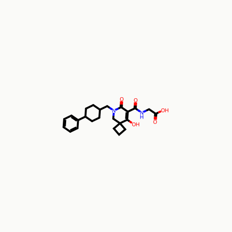 O=C(O)CNC(=O)C1=C(O)C2(CCC2)CN(CC2CCC(c3ccccc3)CC2)C1=O